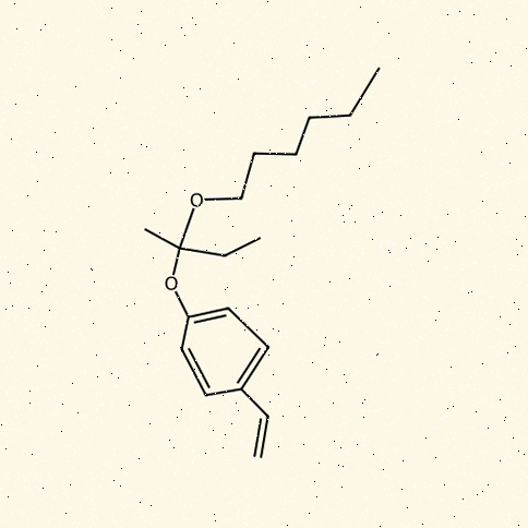 C=Cc1ccc(OC(C)(CC)OCCCCCC)cc1